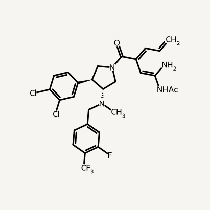 C=C/C=C(\C=C(/N)NC(C)=O)C(=O)N1C[C@H](c2ccc(Cl)c(Cl)c2)[C@@H](N(C)Cc2ccc(C(F)(F)F)c(F)c2)C1